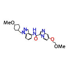 COCCOc1ccn2c(C(=O)Nc3cccc4c3cnn4CC3CCC(OC)CC3)cnc2c1